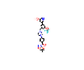 CC(C)(C)S(=O)(=O)NC(=O)c1ccc(N2CCN(Cc3cc(OC(F)(F)F)cc(-c4cncc(O)c4)c3)CC2)cc1